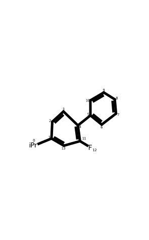 [CH2]C(C)c1ccc(-c2ccccc2)c(F)c1